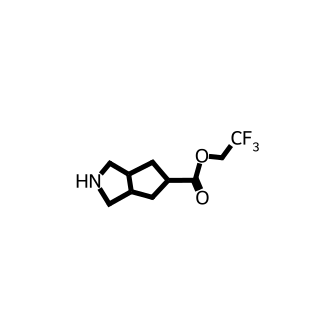 O=C(OCC(F)(F)F)C1CC2CNCC2C1